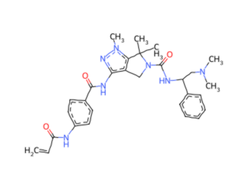 C=CC(=O)Nc1ccc(C(=O)Nc2nn(C)c3c2CN(C(=O)NC(CN(C)C)c2ccccc2)C3(C)C)cc1